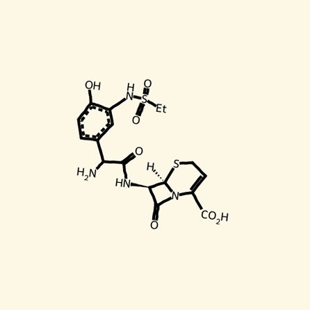 CCS(=O)(=O)Nc1cc(C(N)C(=O)N[C@@H]2C(=O)N3C(C(=O)O)=CCS[C@H]23)ccc1O